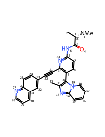 CN[C@@H](C)C(=O)Nc1ccc(-c2c(C)nc3ccccn23)c(C#Cc2ccc3ncccc3c2)n1